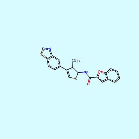 O=C(NC1SC=C(c2ccc3scnc3c2)C1C(=O)O)c1cc2ccccc2o1